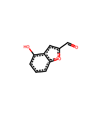 O=Cc1cc2c(O)cccc2o1